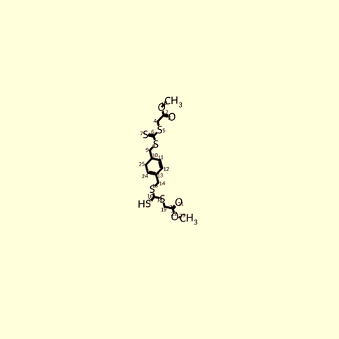 COC(=O)CSC(=S)SCC1C=CC(CSC(S)SCC(=O)OC)=CC1